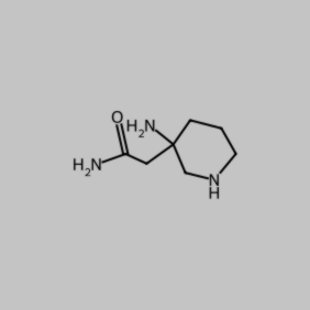 NC(=O)CC1(N)CCCNC1